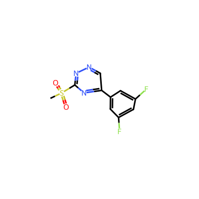 CS(=O)(=O)c1nncc(-c2cc(F)cc(F)c2)n1